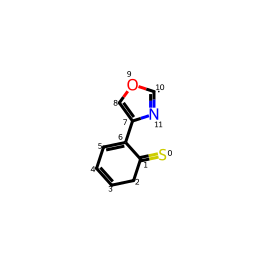 S=C1CC=CC=C1c1co[c]n1